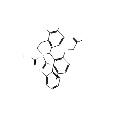 O=C(O)COc1ccc(Cl)cc1C1c2ccc(F)c(F)c2CC[N@@+]1(C(=O)O)c1nc2ccccc2o1